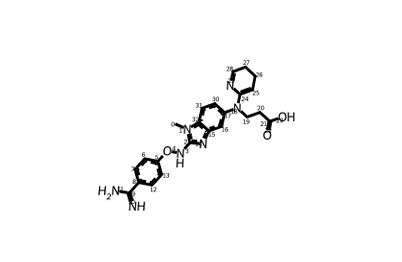 Cn1c(NOc2ccc(C(=N)N)cc2)nc2cc(N(CCC(=O)O)C3=CCCC=N3)ccc21